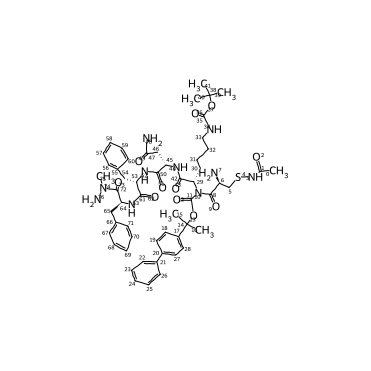 CC(=O)NSC[C@H](N)C(=O)N(C(=O)OC(C)(C)c1ccc(-c2ccccc2)cc1)[C@@H](CCCCNC(=O)OC(C)(C)C)C(=O)N[C@@H](CC(N)=O)C(=O)N[C@@H](Cc1ccccc1)C(=O)N[C@@H](Cc1ccccc1)C(=O)N(C)N